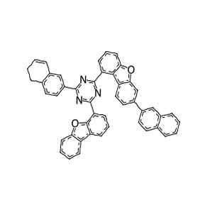 C1=Cc2cc(-c3nc(-c4cccc5c4oc4ccccc45)nc(-c4cccc5oc6cc(-c7ccc8ccccc8c7)ccc6c45)n3)ccc2CC1